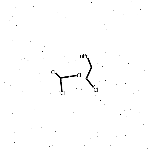 CCCCCCl.ClC(Cl)Cl